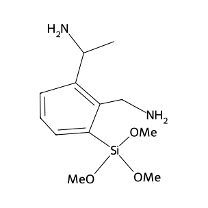 CO[Si](OC)(OC)c1cccc(C(C)N)c1CN